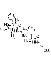 C/C(=C\CN(C)C(=O)C(NC(=O)[C@@H](N(C)C(=O)OC(C)(C)C)C(C)(C)c1ccccc1)C(C)(C)C)C(=O)NCCCC(=O)O